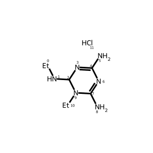 CCNC1N=C(N)N=C(N)N1CC.Cl